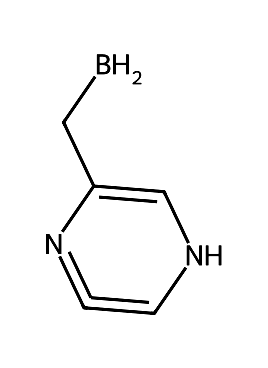 BCC1=CNC=C=N1